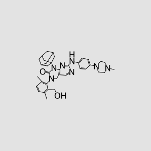 Cc1ccc(C)c(N2Cc3cnc(Nc4ccc(N5CCN(C)CC5)cc4)nc3N(C34CC5CC(CC(C5)C3)C4)C2=O)c1CO